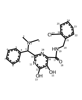 CN(C)C(c1ccccc1)c1nc(O)c(O)c(C(=O)NCc2ccccc2Cl)n1